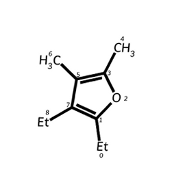 CCc1oc(C)c(C)c1CC